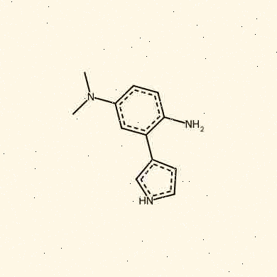 CN(C)c1ccc(N)c(-c2cc[nH]c2)c1